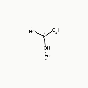 OP(O)O.[Eu]